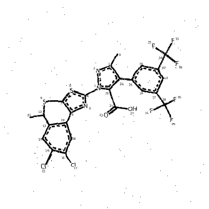 Cc1nn(-c2nc3c(s2)SC(C)c2cc(Cl)c(Cl)cc2-3)c(C(=O)O)c1-c1cc(C(F)(F)F)cc(C(F)(F)F)c1